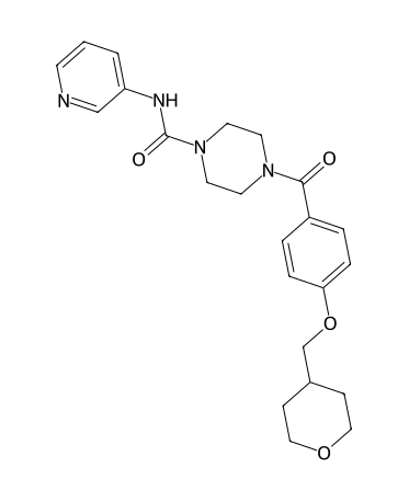 O=C(Nc1cccnc1)N1CCN(C(=O)c2ccc(OCC3CCOCC3)cc2)CC1